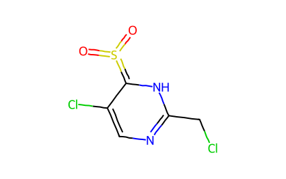 O=S(=O)=c1[nH]c(CCl)ncc1Cl